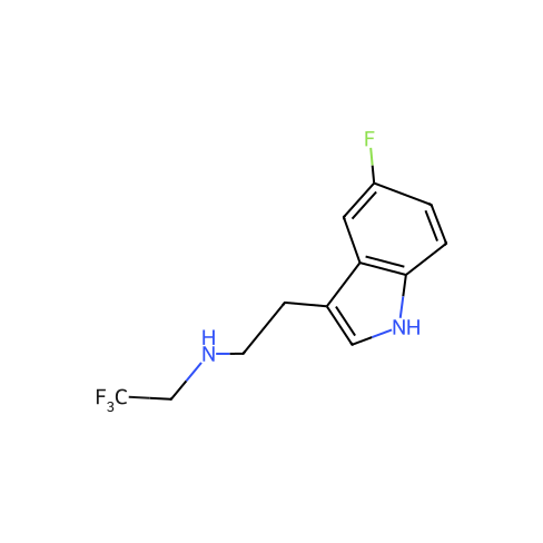 Fc1ccc2[nH]cc(CCNCC(F)(F)F)c2c1